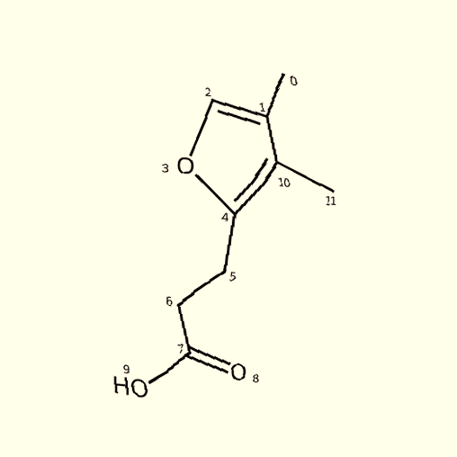 Cc1coc(CCC(=O)O)c1C